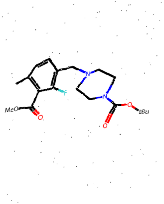 COC(=O)c1c(C)ccc(CN2CCN(C(=O)OC(C)(C)C)CC2)c1F